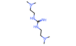 CN(C)CCNC(=N)NCCN(C)C